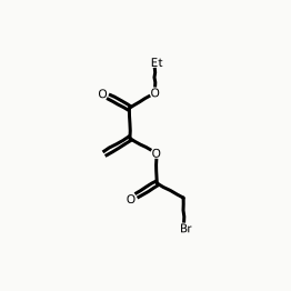 C=C(OC(=O)CBr)C(=O)OCC